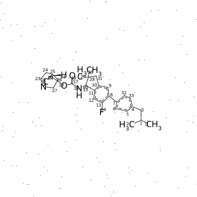 CC(C)Cc1ccc(-c2cc3c(cc2F)[C@H](NC(=O)O[C@@H]2CN4CCC2CC4)C(C)(C)C3)cc1